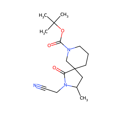 CC1CC2(CCCN(C(=O)OC(C)(C)C)C2)C(=O)N1CC#N